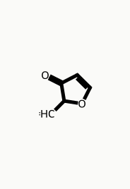 [CH]C1OC=CC1=O